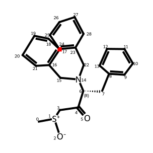 C[S+]([O-])CC(=O)[C@@H](Cc1ccccc1)N(Cc1ccccc1)Cc1ccccc1